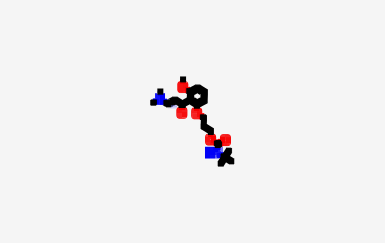 COc1cccc(OCCCOC(=O)NC(C)(C)C)c1C(=O)/C=C/N(C)C